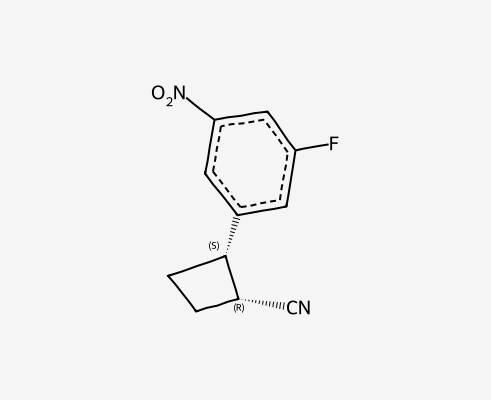 N#C[C@@H]1CC[C@@H]1c1cc(F)cc([N+](=O)[O-])c1